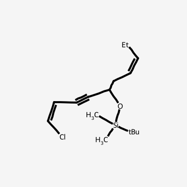 CC/C=C\CC(C#C/C=C\Cl)O[Si](C)(C)C(C)(C)C